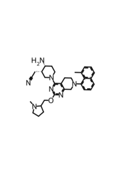 Cc1cccc2cccc(N3CCc4c(nc(OCC5CCCN5C)nc4N4CC[C@@H](N)[C@@H](CC#N)C4)C3)c12